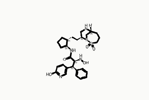 O=C(N[C@H]1CCC[C@@H]1CC[C@H]1CN[C@@H]2CCCS(=O)(=O)N1C2)[C@@H](NO)[C@@H](c1ccccc1)c1ccc(O)nc1